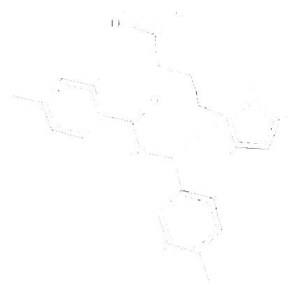 Cc1ccc(C(=O)OC(=O)c2ccc(C)cc2)cc1.O=C(O)CCCc1cccs1